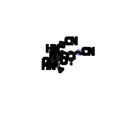 Cc1cc(/C=C/C#N)cc(C)c1Oc1nc(NC23CC(C#N)(C2)C3)nc2c1[C@H](C1CC1)NC2=O